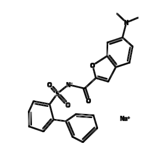 CN(C)c1ccc2cc(C(=O)[N-]S(=O)(=O)c3ccccc3-c3ccccc3)oc2c1.[Na+]